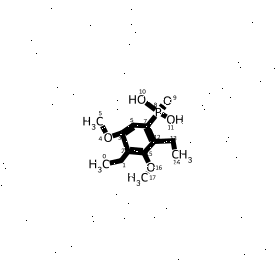 CCc1c(OC)cc(P(=O)(O)O)c(CC)c1OC